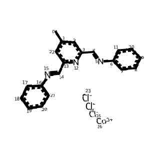 Cc1cc(C=Nc2ccccc2)nc(C=Nc2ccccc2)c1.[Cl-].[Cl-].[Cl-].[Co+3]